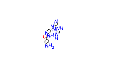 Nc1ccc(C(=O)Nc2cc(-c3nc(NC4CCNC4)c4ccncc4n3)ccn2)cc1